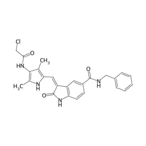 Cc1[nH]c(C=C2C(=O)Nc3ccc(C(=O)NCc4ccccc4)cc32)c(C)c1NC(=O)CCl